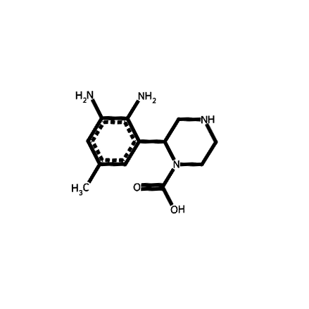 Cc1cc(N)c(N)c(C2CNCCN2C(=O)O)c1